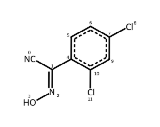 N#C/C(=N\O)c1ccc(Cl)cc1Cl